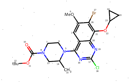 COc1cc2c(N3CCN(C(=O)OC(C)(C)C)CC3C)nc(Cl)nc2c(OC2CC2)c1Br